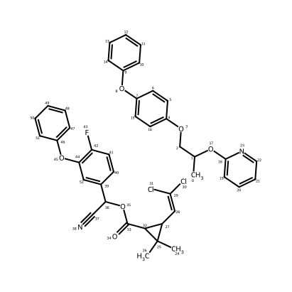 CC(COc1ccc(Oc2ccccc2)cc1)Oc1ccccn1.CC1(C)C(C=C(Cl)Cl)C1C(=O)OC(C#N)c1ccc(F)c(Oc2ccccc2)c1